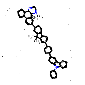 CN1CC=NC2c3ccccc3-c3ccc(-c4ccc5c(c4)C(C)(C)c4cc(C6=CCC(c7ccc8c(c7)c7ccccc7n8-c7ccccc7)C=C6)ccc4-5)cc3C21C